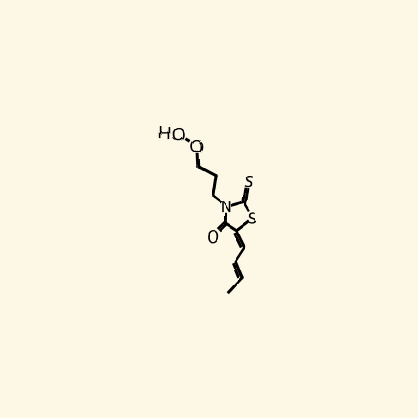 CC=C/C=C1/SC(=S)N(CCCOO)C1=O